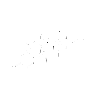 CC(=O)OCC(=O)[C@@]1(O)C(C)C[C@H]2[C@@H]3CC(=O)C4=CC(=O)C=C[C@]4(C)[C@@]3(Cl)C(Cl)C[C@@]21C